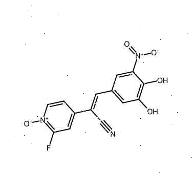 N#C/C(=C\c1cc(O)c(O)c([N+](=O)[O-])c1)c1cc[n+]([O-])c(F)c1